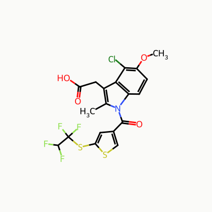 COc1ccc2c(c1Cl)c(CC(=O)O)c(C)n2C(=O)c1csc(SC(F)(F)C(F)F)c1